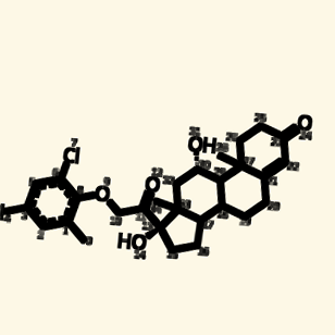 Cc1cc(Cl)cc(Cl)c1OCC(=O)[C@@]1(O)CCC2C3CCC4=CC(=O)CCC4(C)C3[C@@H](O)CC21C